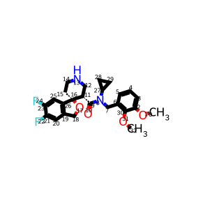 COc1cccc(CN(C(=O)[C@H]2CNCC[C@@]23OCc2cc(F)c(F)cc23)C2CC2)c1OC